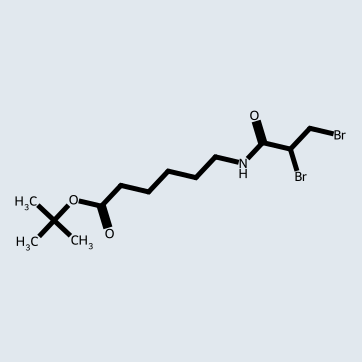 CC(C)(C)OC(=O)CCCCCNC(=O)C(Br)CBr